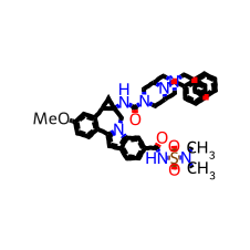 COc1ccc2c(c1)C1CC1(NC(=O)N1CC3CN(Cc4ccccc4)CC(C1)N3Cc1ccccc1)Cn1c-2cc2ccc(C(=O)NS(=O)(=O)N(C)C)cc21